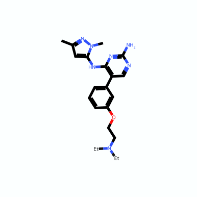 CCN(CC)CCOc1cccc(-c2cnc(N)nc2Nc2cc(C)nn2C)c1